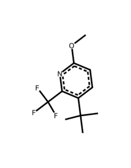 COc1ccc(C(C)(C)C)c(C(F)(F)F)n1